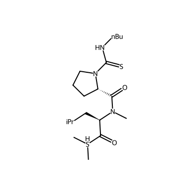 CCCCNC(=S)N1CCC[C@H]1C(=O)N(C)[C@H](CC(C)C)C(=O)[SH](C)C